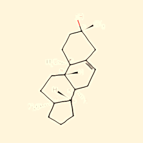 C[C@]1(O)CC[C@@]2(C)C(=CC[C@H]3[C@@H]4CCC[C@@]4(C)CC[C@@H]32)C1